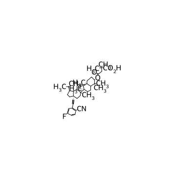 C=C(C)[C@@H]1CC[C@]2(C#Cc3cc(F)ccc3C#N)CC[C@]3(C)C(CCC4[C@@]5(C)CC[C@H](OC(=O)CC(C)(C)C(=O)O)C(C)(C)C5CC[C@]43C)C12